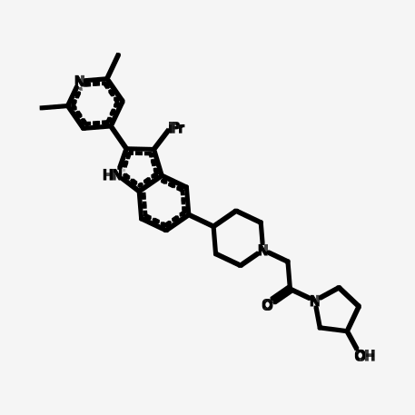 Cc1cc(-c2[nH]c3ccc(C4CCN(CC(=O)N5CCC(O)C5)CC4)cc3c2C(C)C)cc(C)n1